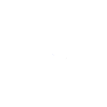 O=C1CCN(CO)C1